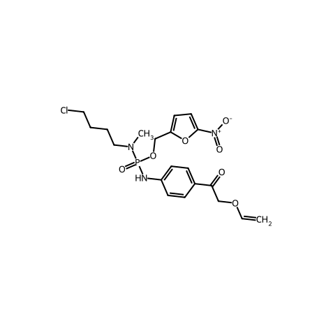 C=COCC(=O)c1ccc(NP(=O)(OCc2ccc([N+](=O)[O-])o2)N(C)CCCCCl)cc1